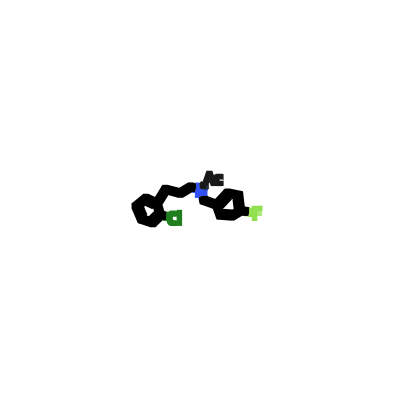 CC(=O)N(CCCc1ccccc1Cl)Cc1ccc(F)cc1